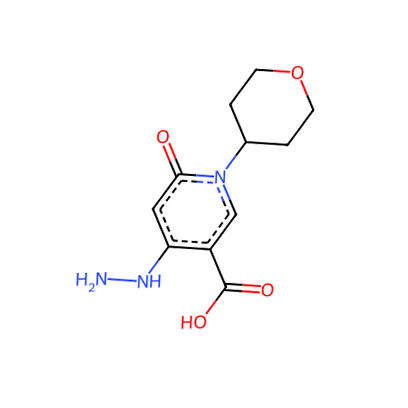 NNc1cc(=O)n(C2CCOCC2)cc1C(=O)O